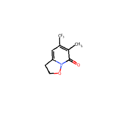 Cc1c(C(F)(F)F)cc2n(c1=O)OCC2